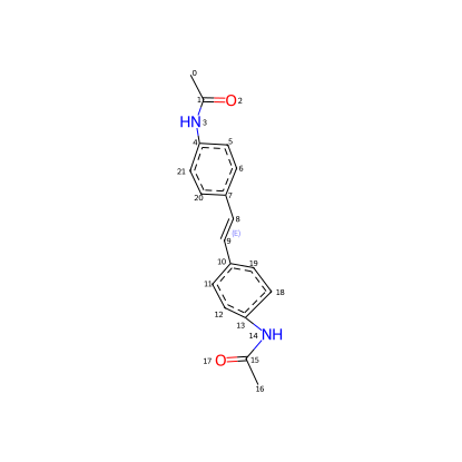 CC(=O)Nc1ccc(/C=C/c2ccc(NC(C)=O)cc2)cc1